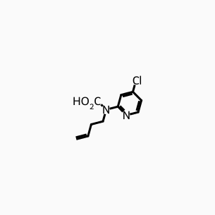 C=CCCN(C(=O)O)c1cc(Cl)ccn1